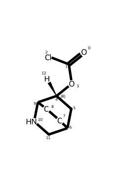 O=C(Cl)O[C@@H]1CC2CCC1NC2